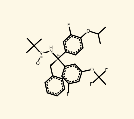 CC(C)Oc1ccc([C@@](Cc2ccccc2)(N[S@+]([O-])C(C)(C)C)c2cc(F)cc(OC(C)(F)F)c2)cc1F